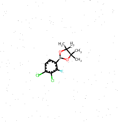 CC1(C)OB(c2ccc(Cl)c(Cl)c2F)OC1(C)C